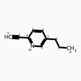 C#Cc1ccc(CCC)cn1